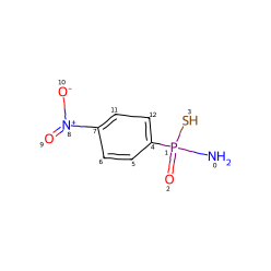 NP(=O)(S)c1ccc([N+](=O)[O-])cc1